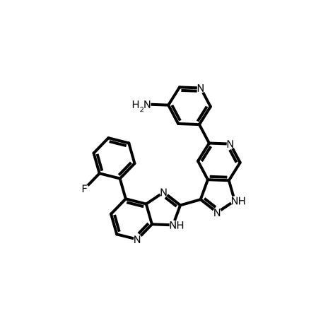 Nc1cncc(-c2cc3c(-c4nc5c(-c6ccccc6F)ccnc5[nH]4)n[nH]c3cn2)c1